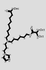 CCCCCCCCCCC(=O)CCCCCCCCN(CCCCCCOC(=O)C(CCCCCCCC)CCCCCCCC)CCCn1ccnc1